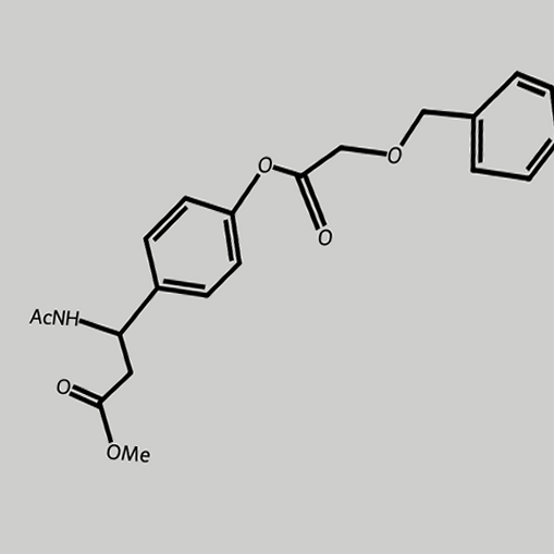 COC(=O)CC(NC(C)=O)c1ccc(OC(=O)COCc2ccccc2)cc1